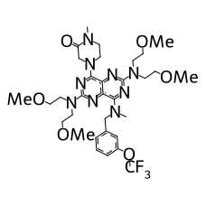 COCCN(CCOC)c1nc(N2CCN(C)C(=O)C2)c2nc(N(CCOC)CCOC)nc(N(C)Cc3cccc(OC(F)(F)F)c3)c2n1